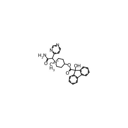 C[N+]1(C(C(N)=O)c2ccncn2)CCC(OC(=O)C2(O)c3ccccc3-c3ccccc32)CC1